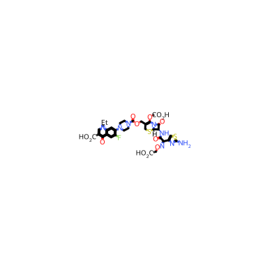 CCn1cc(C(=O)O)c(=O)c2cc(F)c(N3CCN(C(=O)OCC4=C(OC(=O)O)N5C(=O)[C@@H](NC(=O)/C(=N\OCC(=O)O)c6csc(N)n6)[C@H]5SC4)CC3)cc21